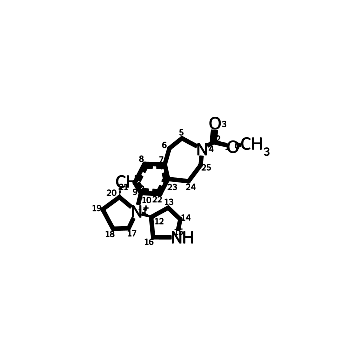 COC(=O)N1CCc2ccc([N+]3([C@H]4CCNC4)CCC[C@@H]3C)cc2CC1